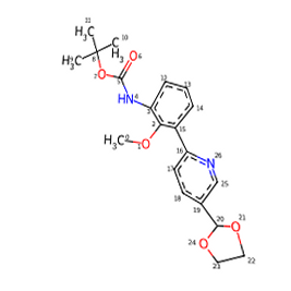 COc1c(NC(=O)OC(C)(C)C)cccc1-c1ccc(C2OCCO2)cn1